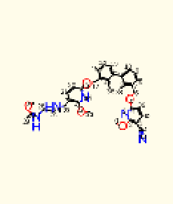 COc1nc(OCc2cccc(-c3cccc(COc4ccc(CNCCNC(C)=O)c(OC)n4)c3C)c2C)ccc1C#N